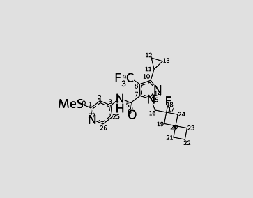 CSc1cc(NC(=O)c2c(C(F)(F)F)c(C3CC3)nn2CC2(F)CC3(CCC3)C2)ccn1